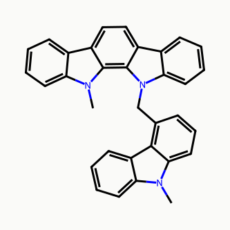 Cn1c2ccccc2c2c(Cn3c4ccccc4c4ccc5c6ccccc6n(C)c5c43)cccc21